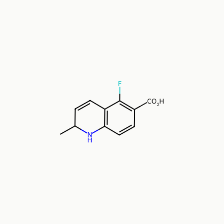 CC1C=Cc2c(ccc(C(=O)O)c2F)N1